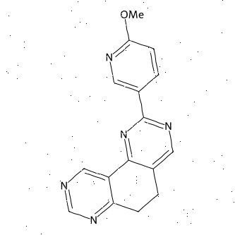 COc1ccc(-c2ncc3c(n2)-c2cncnc2CC3)cn1